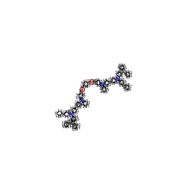 c1ccc(-c2ccc(N(c3ccc(-c4ccc5c(c4)c4ccccc4n5-c4ccc(COCc5ccc(COCc6ccc(-n7c8ccccc8c8cc(-c9ccc(N(c%10ccc(-c%11ccccc%11)cc%10)c%10ccc%11c(c%10)C(c%10ccccc%10)c%10ccccc%10-%11)cc9)ccc87)cc6)cc5)cc4)cc3)c3ccc4c(c3)C(c3ccccc3)c3ccccc3-4)cc2)cc1